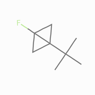 CC(C)(C)C12CC1(F)C2